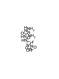 CC(C)[C@@H](C(=O)O)N(C=O)c1ncc(NC(=O)Nc2c(N)nc(N)[nH]c2=O)cc1F